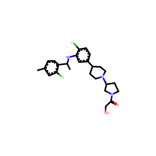 Cc1ccc(C(C)Nc2cc(C3CCN(C4CCN(C(=O)CO)C4)CC3)ccc2Cl)c(Cl)c1